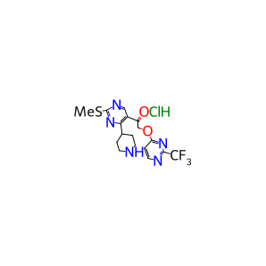 CSc1ncc(C(=O)COc2ccnc(C(F)(F)F)n2)c(C2CCNCC2)n1.Cl